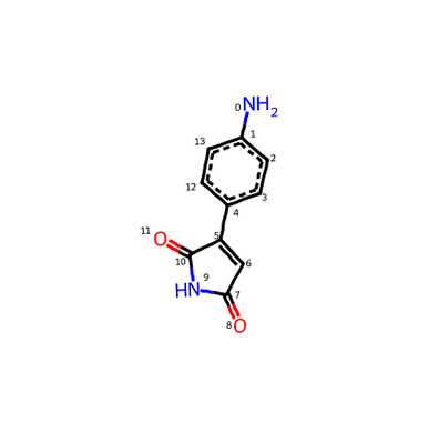 Nc1ccc(C2=CC(=O)NC2=O)cc1